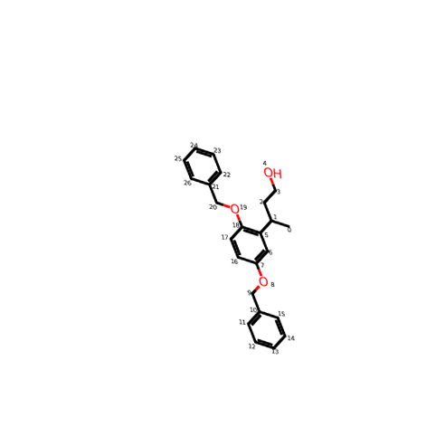 CC(CCO)c1cc(OCc2ccccc2)ccc1OCc1ccccc1